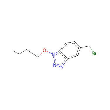 CCCCOn1nnc2cc(CBr)ccc21